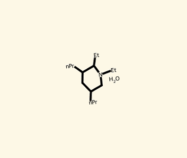 CCCC1CC(CCC)C(CC)N(CC)C1.O